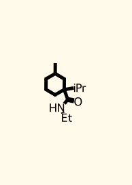 CCNC(=O)C1(C(C)C)CCCC(C)C1